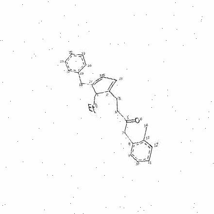 CCC1C(CCC(=O)Cc2ccccc2C)=CC=C1Cc1ccccc1